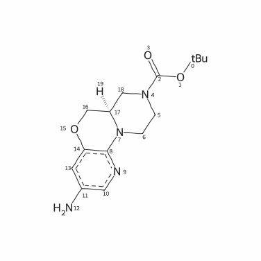 CC(C)(C)OC(=O)N1CCN2c3ncc(N)cc3OC[C@H]2C1